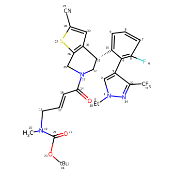 CCn1cc(-c2c(F)cccc2[C@@H]2CN(C(=O)/C=C/CN(C)C(=O)OC(C)(C)C)Cc3sc(C#N)cc32)c(C(F)(F)F)n1